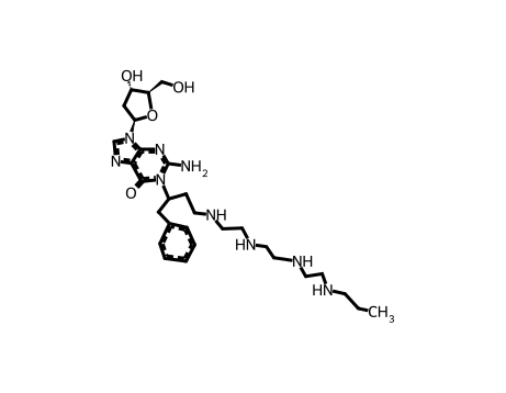 CCCNCCNCCNCCNCCC(Cc1ccccc1)n1c(N)nc2c(ncn2[C@H]2C[C@H](O)[C@@H](CO)O2)c1=O